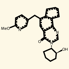 COc1ccc(Cc2cc3c(=O)n([C@H]4CCCC[C@@H]4O)cnc3c3ccccc23)cn1